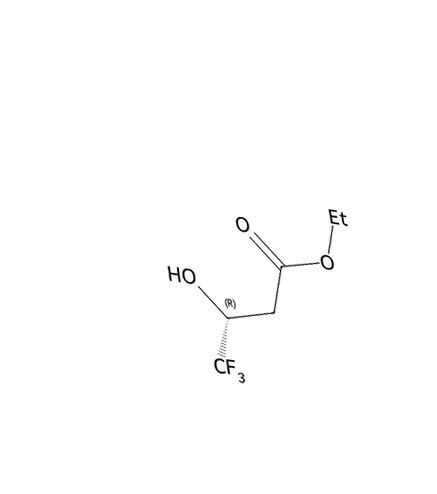 CCOC(=O)C[C@@H](O)C(F)(F)F